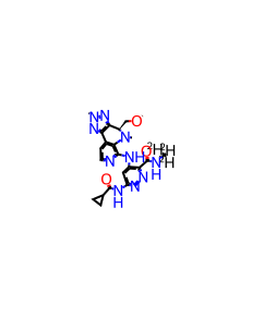 [2H]C([2H])([2H])NC(=O)c1nnc(NC(=O)C2CC2)cc1Nc1nccc2c1N(C)[C@H](COC)c1nn(C)nc1-2